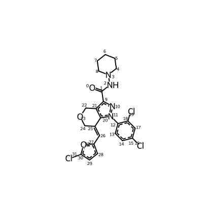 O=C(NN1CCCCC1)c1nn(-c2ccc(Cl)cc2Cl)c2c1COCC2=Cc1ccc(Cl)o1